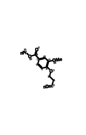 CCCCCCCCCCCCOc1ccc(C(=O)OCCC)cc1OC